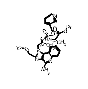 CCOCc1nc2c(N)nc3ccccc3c2n1C[C@H](C)O[P@@](=O)(N[C@@H](C)C(=O)OC(C)C)Oc1cccnc1